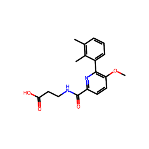 COc1ccc(C(=O)NCCC(=O)O)nc1-c1cccc(C)c1C